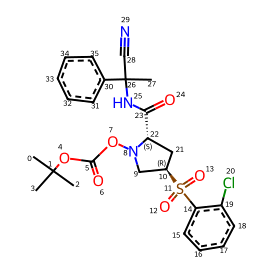 CC(C)(C)OC(=O)ON1C[C@H](S(=O)(=O)c2ccccc2Cl)C[C@H]1C(=O)NC(C)(C#N)c1ccccc1